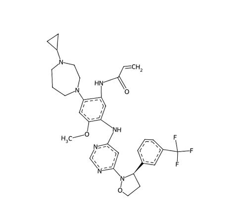 C=CC(=O)Nc1cc(Nc2cc(N3OCC[C@@H]3c3cccc(C(F)(F)F)c3)ncn2)c(OC)cc1N1CCCN(C2CC2)CC1